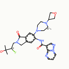 C[C@@H]1CN(c2cc3c(cc2NC(=O)c2cnn4cccnc24)CN(C[C@@H](F)C(C)(C)O)C3=O)CCN1C1COC1